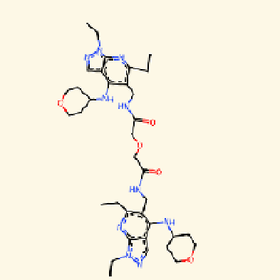 CCc1nc2c(cnn2CC)c(NC2CCOCC2)c1CNC(=O)COCC(=O)NCc1c(CC)nc2c(cnn2CC)c1NC1CCOCC1